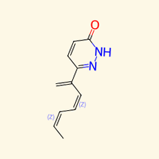 C=C(/C=C\C=C/C)c1ccc(=O)[nH]n1